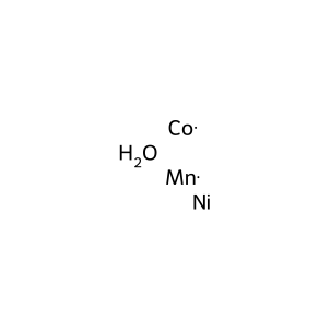 O.[Co].[Mn].[Ni]